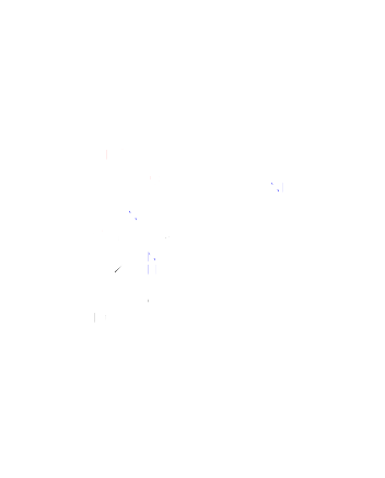 CC(C)C[C@H](NC(=O)CCCCCN)C(=O)NCC(=O)O